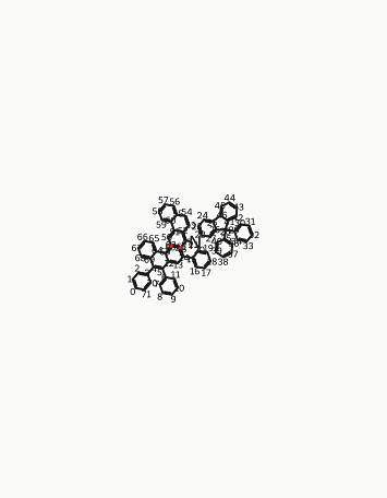 c1ccc(-c2c(-c3ccccc3)c3cc(-c4ccccc4N(c4ccc5c(c4)C(c4ccccc4)(c4ccccc4)c4ccccc4-5)c4cccc5c4ccc4ccccc45)ccc3c3ccccc23)cc1